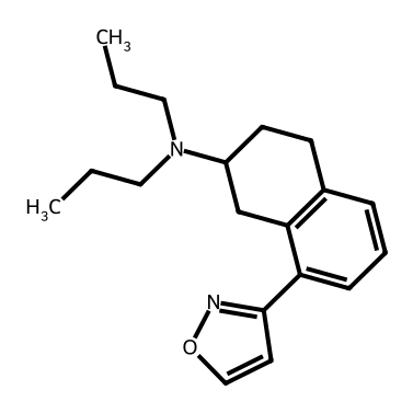 CCCN(CCC)C1CCc2cccc(-c3ccon3)c2C1